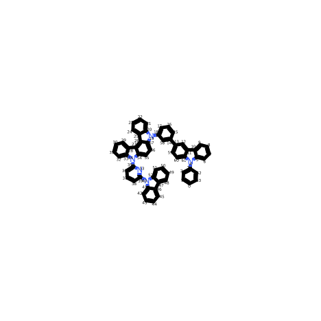 c1ccc(-n2c3ccccc3c3cc(-c4cccc(-n5c6ccccc6c6c7c8ccccc8n(-c8cccc(-n9c%10ccccc%10c%10ccccc%109)n8)c7ccc65)c4)ccc32)cc1